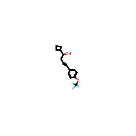 OC(CC#Cc1ccc(OC(F)(F)F)cc1)C1CCC1